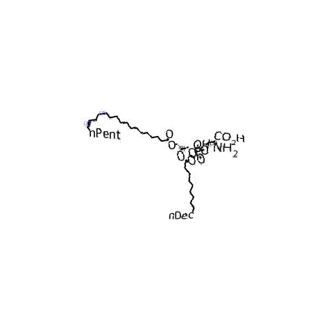 CCCCC/C=C\C/C=C\CCCCCCCCCCCC(=O)OC[C@H](COP(=O)(O)OC[C@H](N)C(=O)O)OC(=O)CCCCCCCCCCCCCCCCCC